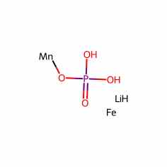 O=P(O)(O)[O][Mn].[Fe].[LiH]